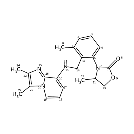 Cc1cccc(N2C(=O)OCC2C)c1CNc1cccn2c(C)c(C)nc12